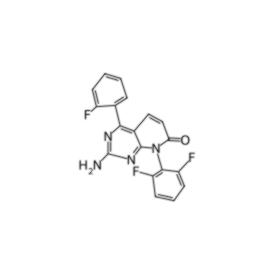 Nc1nc(-c2ccccc2F)c2ccc(=O)n(-c3c(F)cccc3F)c2n1